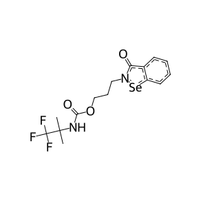 CC(C)(NC(=O)OCCCn1[se]c2ccccc2c1=O)C(F)(F)F